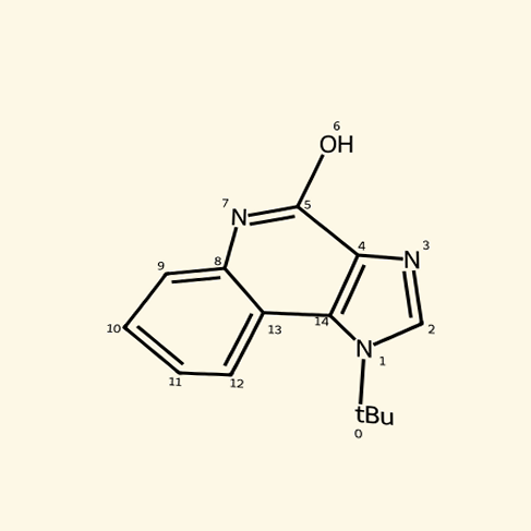 CC(C)(C)n1cnc2c(O)nc3ccccc3c21